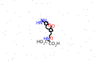 N=C(N)c1ccc2c(c1)CCc1cc(CCC(=O)N[C@@H](CC(=O)O)C(=O)O)ccc1C(=O)O2